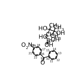 CC(C)(O)C(C)(C)O.O=C(c1ccccc1)c1ccc([N+](=O)[O-])cc1.OB(O)O